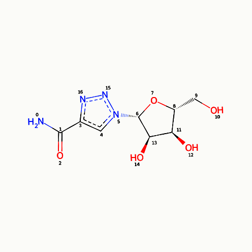 NC(=O)c1cn([C@@H]2O[C@H](CO)[C@@H](O)[C@H]2O)nn1